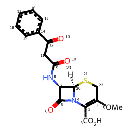 COC1=C(C(=O)O)N2C(=O)[C@@H](NC(=O)CC(=O)c3ccccc3)[C@H]2SC1